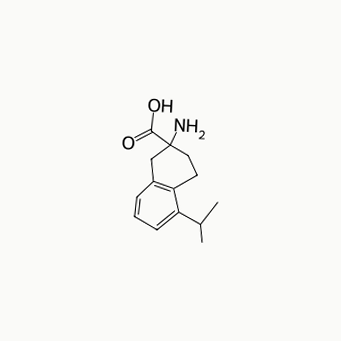 CC(C)c1cccc2c1CCC(N)(C(=O)O)C2